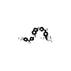 CCC(C)(C)c1ccc(C(=O)c2ccc(Oc3ccc4ccc(Oc5ccc(C(=O)c6ccc(C)cc6)cc5)cc4c3)cc2)cc1